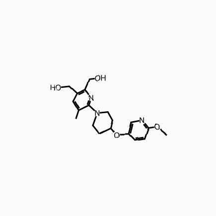 COc1ccc(OC2CCN(c3nc(CO)c(CO)cc3C)CC2)cn1